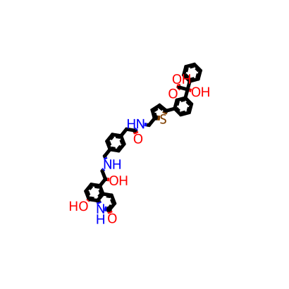 O=C(Cc1ccc(CNCC(O)c2ccc(O)c3[nH]c(=O)ccc23)cc1)NCc1ccc(-c2cccc(C(O)(C(=O)O)c3ccccc3)c2)s1